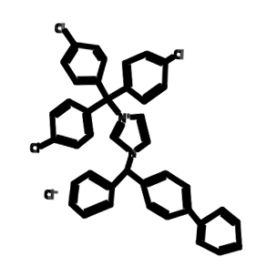 Clc1ccc(C(c2ccc(Cl)cc2)(c2ccc(Cl)cc2)[n+]2ccn(C(c3ccccc3)c3ccc(-c4ccccc4)cc3)c2)cc1.[Cl-]